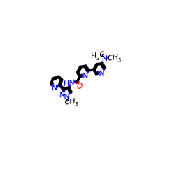 CN(C)c1cncc(-c2cccc(C(=O)Nc3cn(C)nc3-c3ccccn3)n2)c1